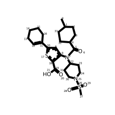 CC1CCC(C(=O)N(c2cc(C3=CCCCC3)sc2C(=O)O)C2CCN(S(C)(=O)=O)CC2)CC1